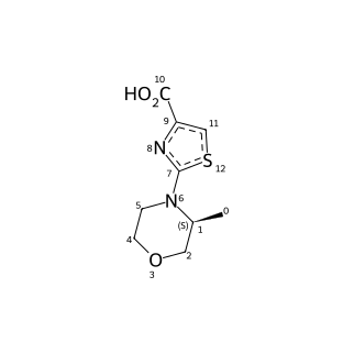 C[C@H]1COCCN1c1nc(C(=O)O)cs1